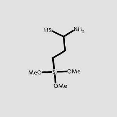 CO[Si](CCC(N)S)(OC)OC